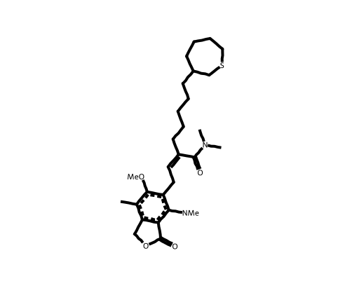 CNc1c(CC=C(CCCCCC2CCCCSC2)C(=O)N(C)C)c(OC)c(C)c2c1C(=O)OC2